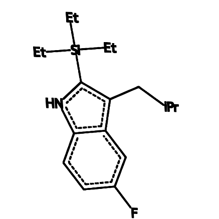 CC[Si](CC)(CC)c1[nH]c2ccc(F)cc2c1CC(C)C